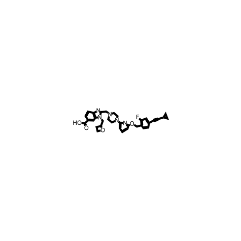 O=C(O)c1ccc2nc(CN3CCN(c4cccc(OCc5ccc(C#CC6CC6)cc5F)n4)CC3)n(CC3CCO3)c2c1